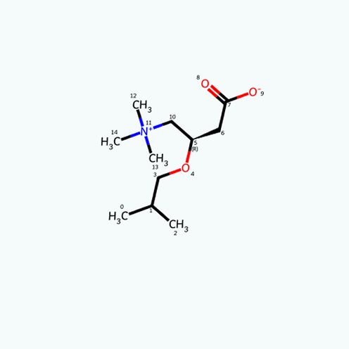 CC(C)CO[C@H](CC(=O)[O-])C[N+](C)(C)C